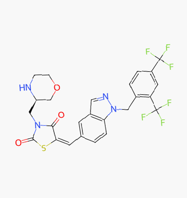 O=C1SC(=Cc2ccc3c(cnn3Cc3ccc(C(F)(F)F)cc3C(F)(F)F)c2)C(=O)N1C[C@@H]1COCCN1